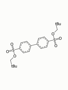 CC(C)(C)COS(=O)(=O)c1ccc(-c2ccc(S(=O)(=O)OCC(C)(C)C)cc2)cc1